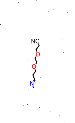 C/N=C/CCOCCOCCC#N